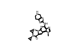 CCn1c(C(=O)N(C2CC2)C2CC2)cc2c3c(ncn3C)c(Nc3nc4c(s3)CNCC4)nc21